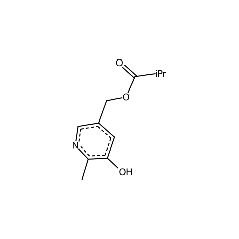 Cc1ncc(COC(=O)C(C)C)cc1O